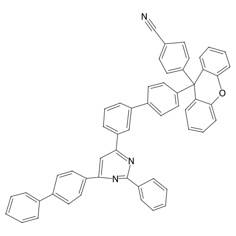 N#Cc1ccc(C2(c3ccc(-c4cccc(-c5cc(-c6ccc(-c7ccccc7)cc6)nc(-c6ccccc6)n5)c4)cc3)c3ccccc3Oc3ccccc32)cc1